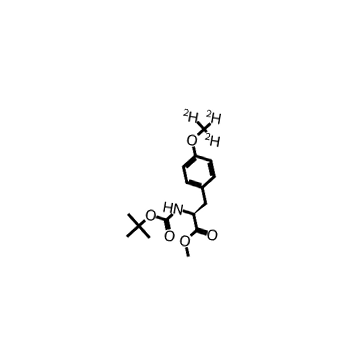 [2H]C([2H])([2H])Oc1ccc(C[C@H](NC(=O)OC(C)(C)C)C(=O)OC)cc1